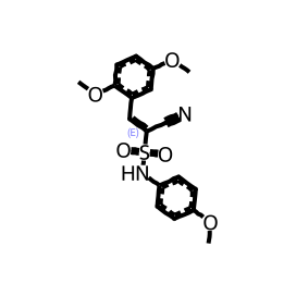 COc1ccc(NS(=O)(=O)/C(C#N)=C/c2cc(OC)ccc2OC)cc1